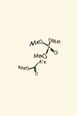 CCC(=O)OC.COP(=O)(OC)OC